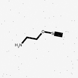 C#[Si]OCCN